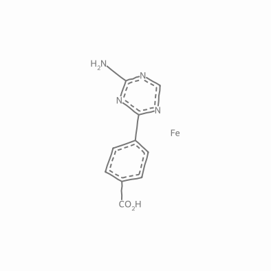 Nc1ncnc(-c2ccc(C(=O)O)cc2)n1.[Fe]